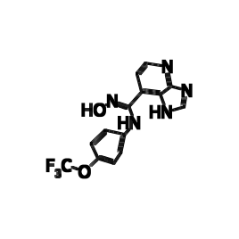 O/N=C(\Nc1ccc(OC(F)(F)F)cc1)c1ccnc2nc[nH]c12